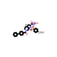 COc1ccc(S(=O)(=O)N2[C@H](C(=O)NO)C[C@@H]3CCN(C(=O)c4ccc(-c5ccccc5)cc4)C[C@@H]32)cc1